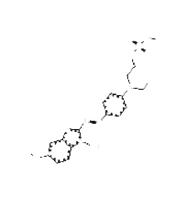 CCN(CCOS(=O)(=O)OC)c1ccc(N=Nc2sc3cc(OC)ccc3[n+]2C)cc1